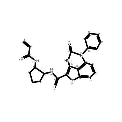 C=CC(=O)NC1CCCC1NC(=O)c1sc2nccc3c2c1NC(=O)N3c1ccccc1